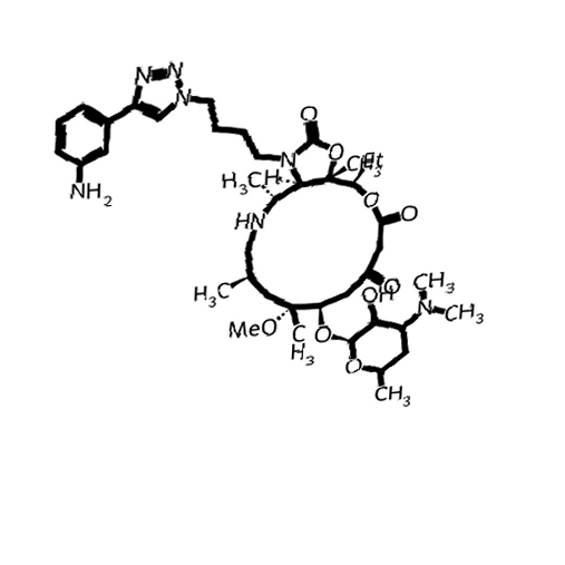 CC[C@H]1OC(=O)CC(=O)C[C@@H](O[C@@H]2OC(C)CC(N(C)C)C2O)[C@](C)(OC)C[C@@H](C)CN[C@H](C)[C@H]2N(CCCCn3cc(-c4cccc(N)c4)nn3)C(=O)O[C@]12C